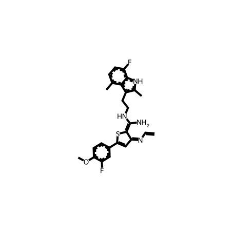 C=C/N=C1/C=C(c2ccc(OC)c(F)c2)S/C1=C(/N)NCCc1c(C)[nH]c2c(F)ccc(C)c12